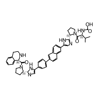 CC(C)[C@H](NC(=O)O)C(=O)N1CCC[C@H]1c1ncc(-c2ccc3cc(-c4ccc(-c5cnc([C@@H]6CCCN6C(=O)[C@@H]6NCCc7ccccc76)[nH]5)cc4)ccc3c2)[nH]1